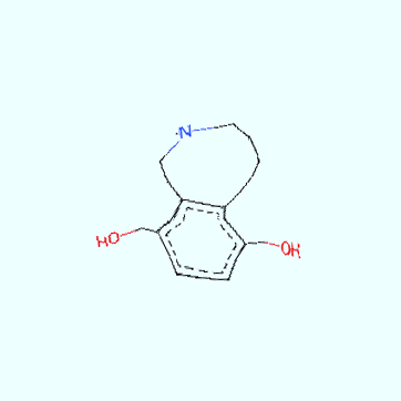 Oc1ccc(O)c2c1CC[N]C2